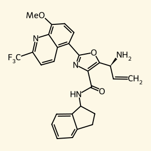 C=C[C@H](N)c1oc(-c2ccc(OC)c3nc(C(F)(F)F)ccc23)nc1C(=O)NC1CCc2ccccc21